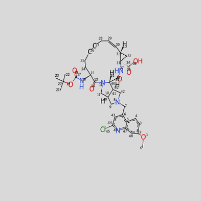 COc1ccc2c(CN3C[C@H]4CN5C(=O)[C@@H](NC(=O)OC(C)(C)C)CCCCC/C=C\[C@@H]6C[C@@]6(C(=O)O)NC(=O)[C@@H]5[C@H]4C3)cc(Cl)nc2c1